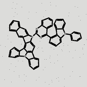 c1ccc(-n2c3ccccc3c3c(-c4nc(-n5c6cc7ccccc7cc6c6c7c8ccccc8n8c9ccccc9c(cc65)c78)nc5ccccc45)cccc32)cc1